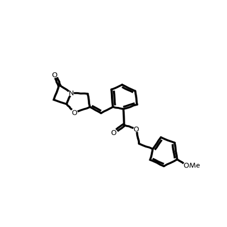 COc1ccc(COC(=O)c2ccccc2/C=C2\CN3C(=O)CC3O2)cc1